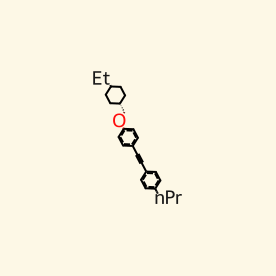 CCCc1ccc(C#Cc2ccc(OC[C@H]3CC[C@H](CC)CC3)cc2)cc1